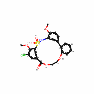 COc1ccc2cc1NS(=O)(=O)c1cc(cc(Cl)c1OC)C(=O)OCCOc1ccccc1-2